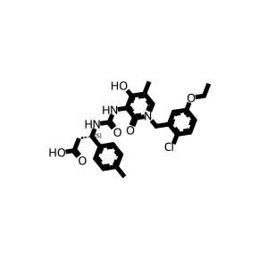 CCOc1ccc(Cl)c(Cn2cc(C)c(O)c(NC(=O)N[C@@H](CC(=O)O)c3ccc(C)cc3)c2=O)c1